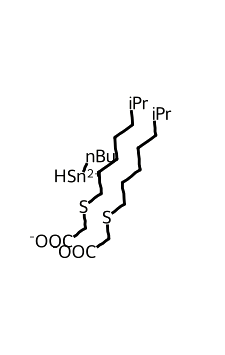 CC(C)CCCCCSCC(=O)[O-].CC(C)CCCCCSCC(=O)[O-].CCC[CH2][SnH+2]